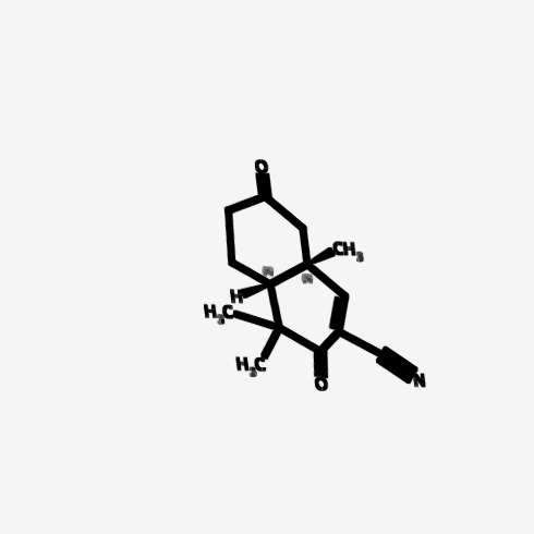 CC1(C)C(=O)C(C#N)=C[C@@]2(C)CC(=O)CC[C@@H]12